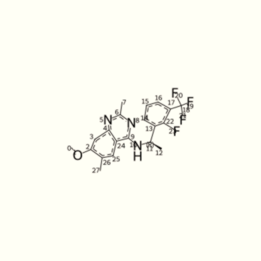 COc1cc2nc(C)nc(N[C@H](C)c3cccc(C(F)(F)F)c3F)c2cc1C